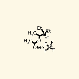 CC[N+](CC)(CC)C(C)OC(C)OC.F[B-](F)(F)F